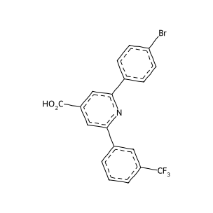 O=C(O)c1cc(-c2ccc(Br)cc2)nc(-c2cccc(C(F)(F)F)c2)c1